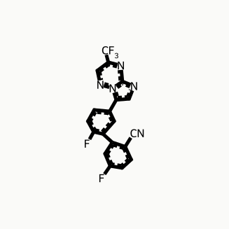 N#Cc1ccc(F)cc1-c1cc(-c2cnc3nc(C(F)(F)F)cnn23)ccc1F